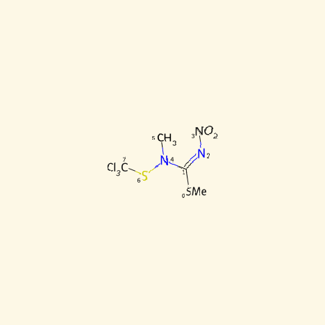 CSC(=N[N+](=O)[O-])N(C)SC(Cl)(Cl)Cl